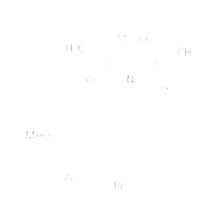 COC(=O)c1cc(N(S(C)(=O)=O)S(C)(=O)=O)ccc1Br